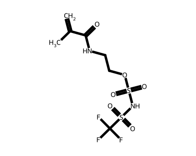 C=C(C)C(=O)NCCOS(=O)(=O)NS(=O)(=O)C(F)(F)F